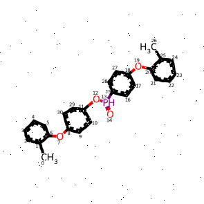 Cc1ccccc1Oc1ccc(O[PH](=O)c2ccc(Oc3ccccc3C)cc2)cc1